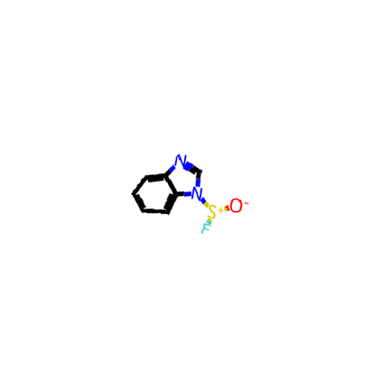 [O-][S+](F)n1cnc2ccccc21